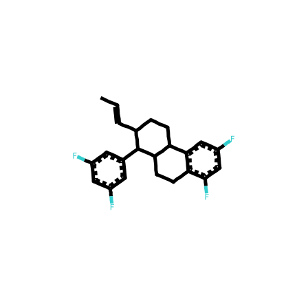 CC=CC1CCC2c3cc(F)cc(F)c3CCC2C1c1cc(F)cc(F)c1